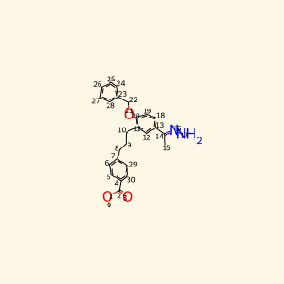 COC(=O)c1ccc(CCCc2cc(/C(C)=N/N)ccc2OCc2ccccc2)cc1